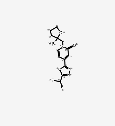 CC1(Cn2ccc(-c3nnc(C(F)F)o3)cc2=O)CCCO1